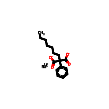 CCCCCCCC(C(=O)[O-])(C(=O)[O-])c1ccccc1.[Li+].[Na+]